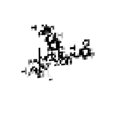 CC(C)[C@@H](NC(=O)C[N@+]1(c2ccc3[nH]c(S(N)(=O)=O)cc3c2)CCC(O)(OC(=O)NCc2cc(F)cc(Cl)c2)C1=O)C(=O)N(C)C